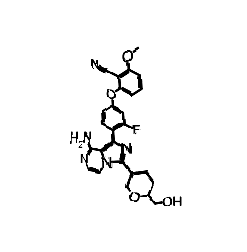 COc1cccc(Oc2ccc(-c3nc(C4CCC(CO)OC4)n4ccnc(N)c34)c(F)c2)c1C#N